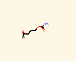 CC(C)C(=O)CCCOC(N)=O